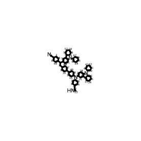 N#Cc1ccc(C(Cc2ccc(-c3ccc(N(c4ccc(C5CN5)cc4)c4ccc5c(c4)c4ccccc4n5-c4ccccc4)cc3)cc2)c2ccc3c(c2)C2C=CC=CC2N3c2ccccc2)cc1